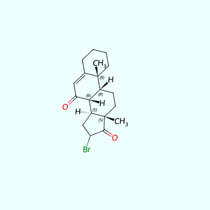 C[C@]12CCCCC1=CC(=O)[C@@H]1[C@H]2CC[C@]2(C)C(=O)C(Br)C[C@@H]12